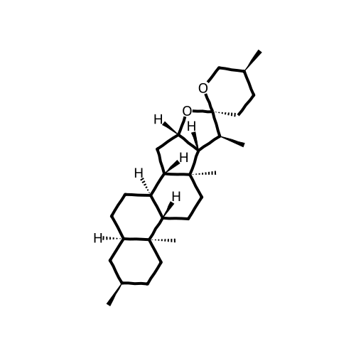 C[C@@H]1CC[C@@]2(C)[C@H](CC[C@@H]3[C@@H]2CC[C@]2(C)[C@@H]4[C@H](C[C@@H]32)O[C@]2(CC[C@H](C)CO2)[C@H]4C)C1